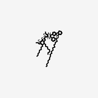 CCCCCCCCCCCCCCCCCCCCn1c2ccccc2c2ccc(-c3nc4c(C)sc(-c5cc6c(CCCCCCCC)c(CCCCCCCC)c7cc(C)sc7c6s5)c4nc3-c3ccccc3)cc21